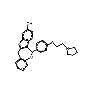 Oc1ccc2c3c(sc2c1)Cc1ccccc1OC3c1ccc(OCCN2CCCC2)cc1